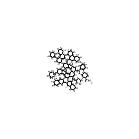 Cc1ccc2c(c1)CN(c1cc3oc4c(N(c5cc6ccccc6c6ccccc56)c5cc6ccccc6c6c(-c7ccccc7)cccc56)cccc4c3c3c1cc(N(c1cc(-c4ccc5ccccc5c4)cc4ccccc14)C1CCCC1)c1ccc4c5cc(N6C=CC=NC6)ccc5oc4c13)c1ccccc1-2